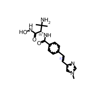 Cn1cnc(/C=C/c2ccc(C(=O)N[C@H](C(=O)NO)C(C)(C)N)cc2)c1